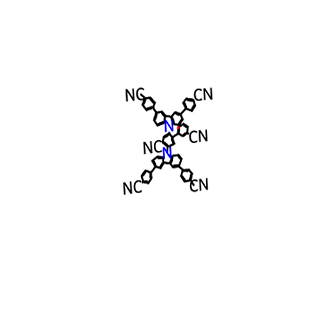 N#Cc1ccc(-c2ccc3c(c2)c2cc(-c4ccc(C#N)cc4)ccc2n3-c2cc(-c3cccc(C#N)c3)c(-n3c4ccc(-c5ccc(C#N)cc5)cc4c4cc(-c5ccc(C#N)cc5)ccc43)cc2C#N)cc1